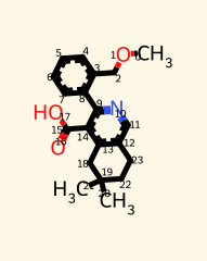 COCc1ccccc1-c1ncc2c(c1C(=O)O)CC(C)(C)CC2